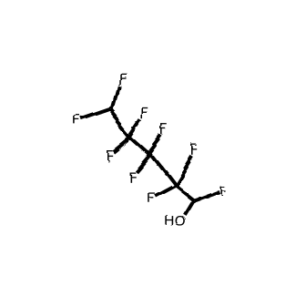 OC(F)C(F)(F)C(F)(F)C(F)(F)C(F)F